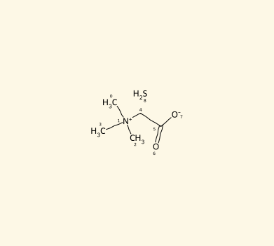 C[N+](C)(C)CC(=O)[O-].S